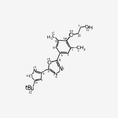 Cc1cc(-c2nnc(-c3cc(C(C)(C)C)on3)o2)cc(C)c1OCCO